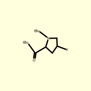 CC(C)(C)C(=O)C1CC(F)CN1C(C)(C)C